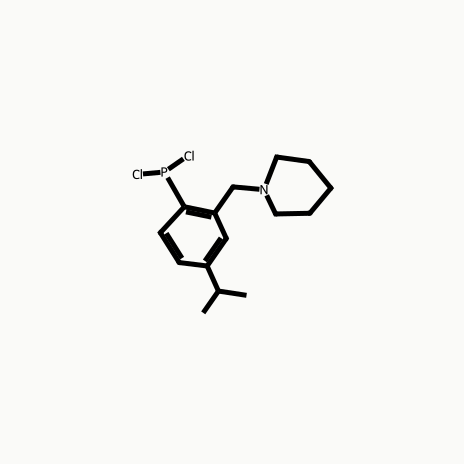 CC(C)c1ccc(P(Cl)Cl)c(CN2CCCCC2)c1